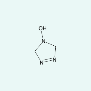 ON1CN=NC1